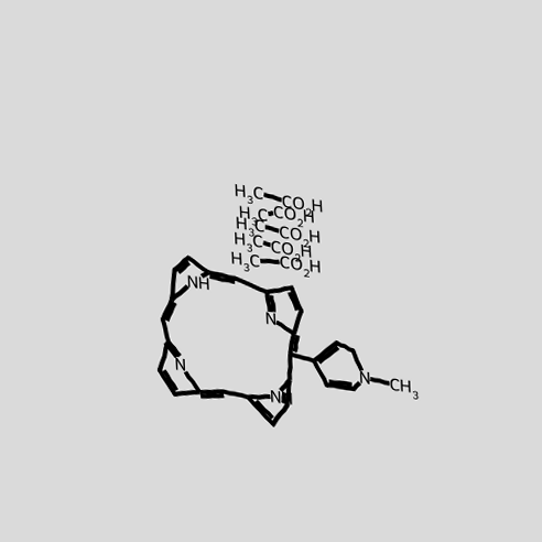 CC(=O)O.CC(=O)O.CC(=O)O.CC(=O)O.CC(=O)O.CN1C=CC(c2c3nc(cc4ccc(cc5nc(cc6ccc2[nH]6)C=C5)[nH]4)C=C3)=CC1